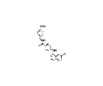 COc1ccc(CNC(=O)c2ccc(Nc3nccc4ccc(Cl)cc34)cn2)cc1